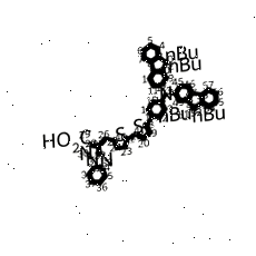 CCCCC1(CCCC)c2ccccc2-c2ccc(N(c3ccc(-c4ccc(C5=CCC(/C=c6/c(C(=O)O)nn7c6nc6ccccc67)S5)s4)cc3)c3ccc4c(c3)C(CCCC)(CCCC)c3ccccc3-4)cc21